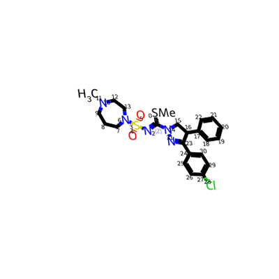 CS/C(=N\S(=O)(=O)N1CCCN(C)CC1)N1CC(c2ccccc2)C(c2ccc(Cl)cc2)=N1